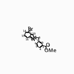 COC(=O)c1cccc(Cn2cc3c(Br)cccc3n2)c1